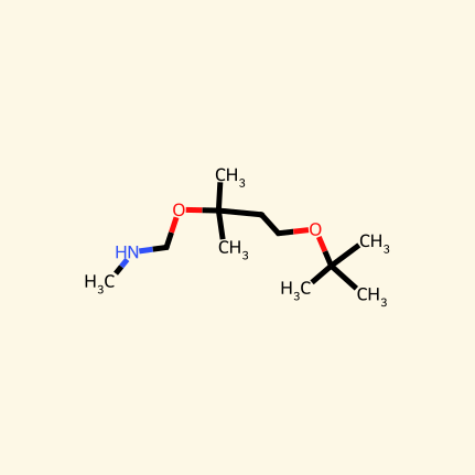 CNCOC(C)(C)CCOC(C)(C)C